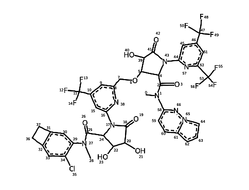 CN(C(=O)C1C(OCc2cc(C(F)(F)F)cc(N3C(=O)C(O)C(O)C3C(=O)N(C)c3cc4c(cc3Cl)CC4)n2)C(O)C(=O)N1c1cc(C(F)(F)F)cc(C(F)(F)F)n1)c1ccc2cccn2n1